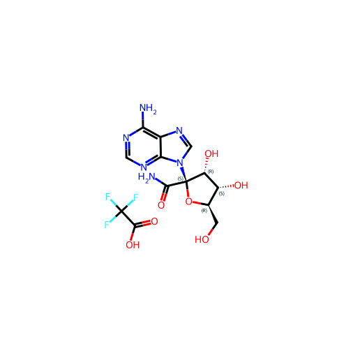 NC(=O)[C@@]1(n2cnc3c(N)ncnc32)O[C@H](CO)[C@@H](O)[C@H]1O.O=C(O)C(F)(F)F